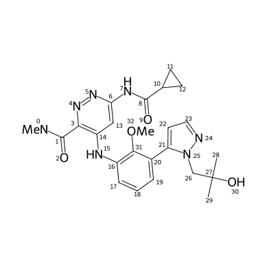 CNC(=O)c1nnc(NC(=O)C2CC2)cc1Nc1cccc(-c2ccnn2CC(C)(C)O)c1OC